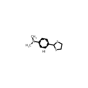 CN(C)c1ccc(C2SCCS2)cc1.I